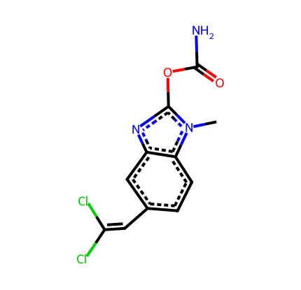 Cn1c(OC(N)=O)nc2cc(C=C(Cl)Cl)ccc21